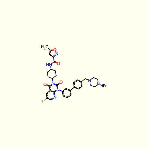 Cc1cc(C(=O)NC2CCC(n3c(=O)c4cc(F)cnc4n(-c4cccc(-c5ccc(CN6CCN(C(C)C)CC6)cc5)c4)c3=O)CC2)no1